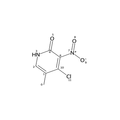 Cc1c[nH]c(=O)c([N+](=O)[O-])c1Cl